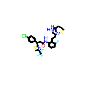 O=C(CC(c1ccc(Cl)cc1)c1nc(C(F)(F)F)cs1)Nc1cccc(F)c1CCC1CN[C@@H]2CCCSN1C2